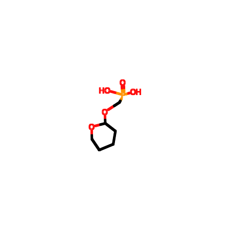 O=P(O)(O)COC1CCCCO1